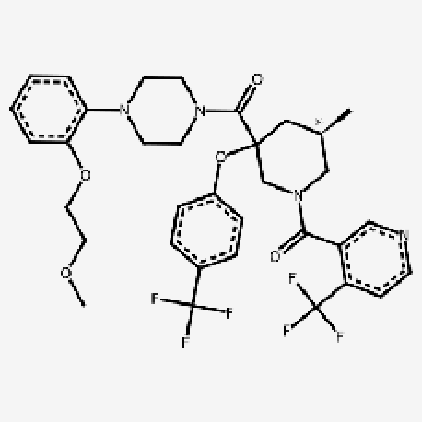 COCCOc1ccccc1N1CCN(C(=O)C2(Oc3ccc(C(F)(F)F)cc3)C[C@@H](C)CN(C(=O)c3cnccc3C(F)(F)F)C2)CC1